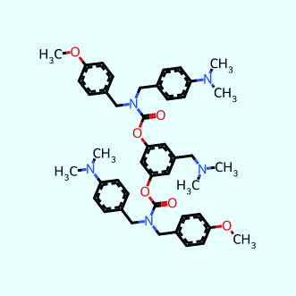 COc1ccc(CN(Cc2ccc(N(C)C)cc2)C(=O)Oc2cc(CN(C)C)cc(OC(=O)N(Cc3ccc(OC)cc3)Cc3ccc(N(C)C)cc3)c2)cc1